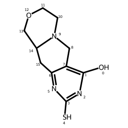 Oc1nc(S)nc2c1CN1CCOCC1C2